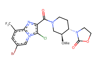 CO[C@H]1CN(C(=O)c2nc3c(C(F)(F)F)cc(Br)cn3c2Cl)CC[C@@H]1N1CCOC1=O